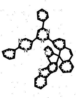 C1=Cc2ccc(-c3nc(-c4ccccc4)cc(-c4cnc(-c5ccccc5)nc4)n3)cc2C2(c3ccccc31)c1ccccc1-c1c2ccc2c1sc1ccccc12